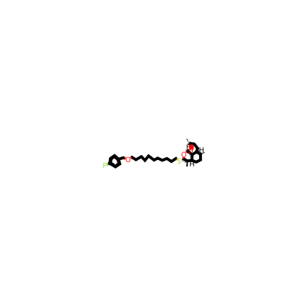 C[C@H]1[C@H](SCCCCCCCCCCCOCc2ccc(F)cc2)O[C@@H]2O[C@]3(C)CC[C@H]4[C@H](C)CC[C@@H]1[C@@]24OO3